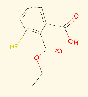 CCOC(=O)c1c(S)cccc1C(=O)O